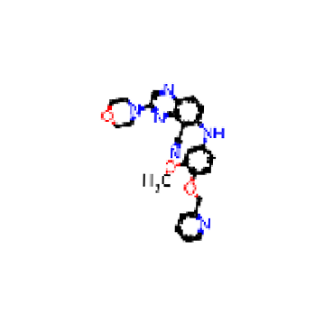 COc1cc(Nc2ccc3ncc(N4CCOCC4)nc3c2C#N)ccc1OCc1ccccn1